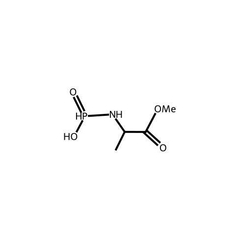 COC(=O)C(C)N[PH](=O)O